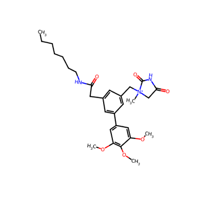 CCCCCCCNC(=O)Cc1cc(C[N+]2(C)CC(=O)NC2=O)cc(-c2cc(OC)c(OC)c(OC)c2)c1